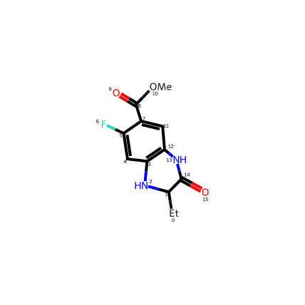 CCC1Nc2cc(F)c(C(=O)OC)cc2NC1=O